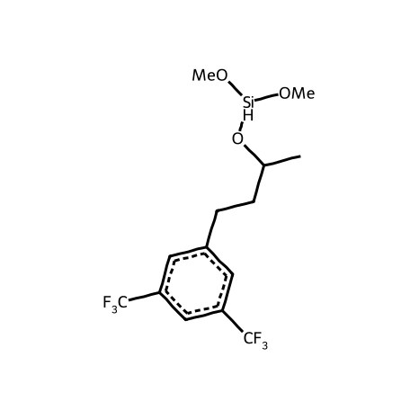 CO[SiH](OC)OC(C)CCc1cc(C(F)(F)F)cc(C(F)(F)F)c1